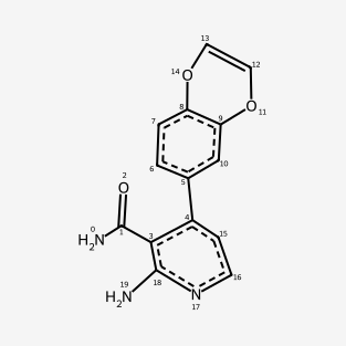 NC(=O)c1c(-c2ccc3c(c2)OC=CO3)ccnc1N